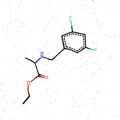 CCOC(=O)C(C)NCc1cc(F)cc(F)c1